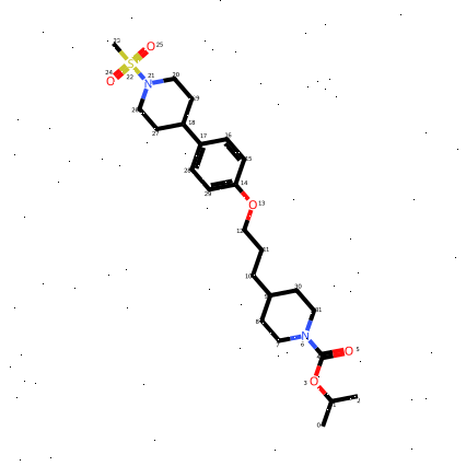 CC(C)OC(=O)N1CCC(CCCOc2ccc(C3CCN(S(C)(=O)=O)CC3)cc2)CC1